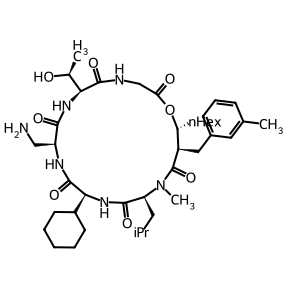 CCCCCC[C@H]1OC(=O)CNC(=O)[C@H]([C@H](C)O)NC(=O)[C@H](CN)NC(=O)[C@H](C2CCCCC2)NC(=O)[C@H](CC(C)C)N(C)C(=O)[C@@H]1Cc1cccc(C)c1